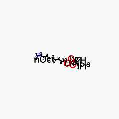 CCCCCCCC/C=C\CCCCCCCCOC(=O)OC(C)C(C)C